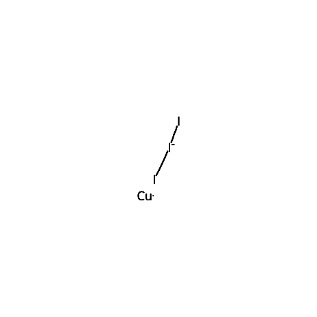 I[I-]I.[Cu]